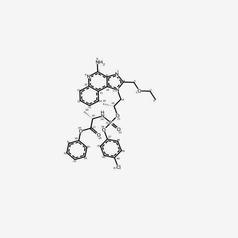 CCOCc1nc2c(N)nc3ccccc3c2n1C[C@@H](C)OP(=O)(N[C@@H](C)C(=O)Oc1ccccc1)Oc1ccc(Cl)cc1